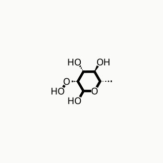 C[C@@H]1OC(O)[C@H](OO)[C@H](O)[C@H]1O